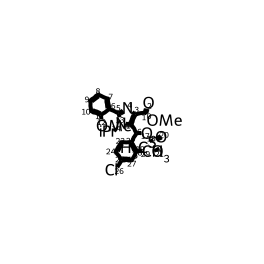 COC(=O)c1nc(-c2ccccc2OC)n(C(C)C)c1C(OS(C)(=O)=O)c1ccc(Cl)cc1C